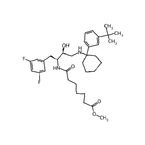 COC(=O)CCCCCC(=O)N[C@@H](Cc1cc(F)cc(F)c1)[C@@H](O)CNC1(c2cccc(C(C)(C)C)c2)CCCCC1